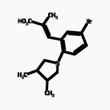 CC(=Cc1cc(Br)ccc1N1CC(C)C(C)C1)C(=O)O